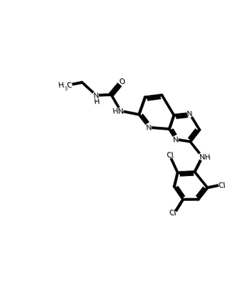 CCNC(=O)Nc1ccc2ncc(Nc3c(Cl)cc(Cl)cc3Cl)nc2n1